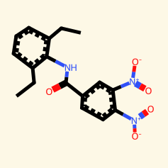 CCc1cccc(CC)c1NC(=O)c1ccc([N+](=O)[O-])c([N+](=O)[O-])c1